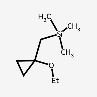 CCOC1(C[Si](C)(C)C)CC1